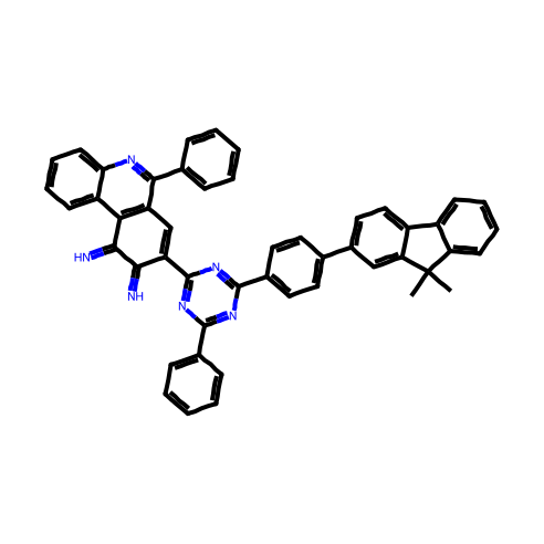 CC1(C)c2ccccc2-c2ccc(-c3ccc(-c4nc(C5=Cc6c(-c7ccccc7)nc7ccccc7c6C(=N)C5=N)nc(-c5ccccc5)n4)cc3)cc21